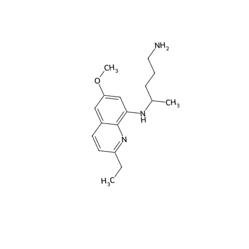 CCc1ccc2cc(OC)cc(NC(C)CCCN)c2n1